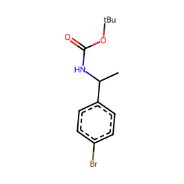 CC(NC(=O)OC(C)(C)C)c1ccc(Br)cc1